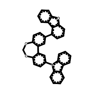 c1ccc2c(c1)oc1cccc(-c3ccc4c(c3)-c3cc(-n5c6ccccc6c6ccccc65)ccc3OCO4)c12